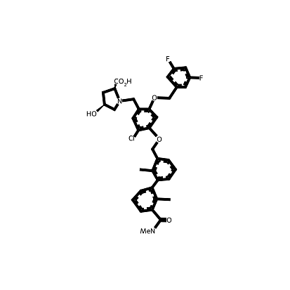 CNC(=O)c1cccc(-c2cccc(COc3cc(OCc4cc(F)cc(F)c4)c(CN4C[C@@H](O)C[C@H]4C(=O)O)cc3Cl)c2C)c1C